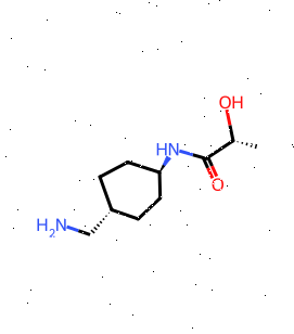 C[C@@H](O)C(=O)N[C@H]1CC[C@H](CN)CC1